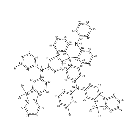 Cc1cccc(N(c2ccc(C3(c4ccc(N(c5cccc(C)c5)c5ccc6c(c5)C(C)(C)c5ccccc5-6)cc4)c4ccccc4N(c4ccccc4)c4ccccc43)cc2)c2ccc3c(c2)C(C)(C)c2ccccc2-3)c1